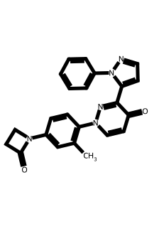 Cc1cc(N2CCC2=O)ccc1-n1ccc(=O)c(-c2ccnn2-c2ccccc2)n1